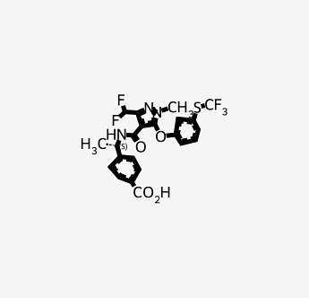 C[C@H](NC(=O)c1c(C(F)F)nn(C)c1Oc1cccc(SC(F)(F)F)c1)c1ccc(C(=O)O)cc1